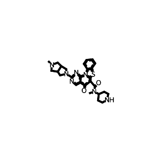 CN1CC2CN(c3ncc4c(=O)c(C(=O)N(C)C5CCNCC5)c5sc6ccccc6n5c4n3)CC2C1